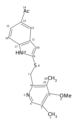 COc1c(C)cnc(CSc2cc3cc(C(C)=O)ccc3[nH]2)c1C